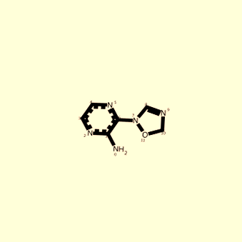 Nc1nccnc1N1C=NCO1